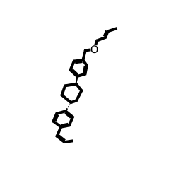 C/C=C\c1ccc([C@H]2CC[C@H](c3ccc(COC/C=C/C)cc3)CC2)cc1